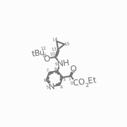 CCOC(=O)C(=O)c1cnccc1NC(OC(C)(C)C)=C1CC1